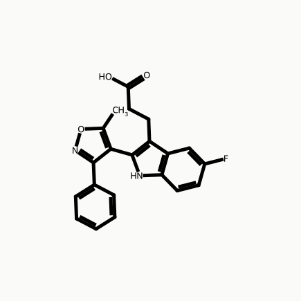 Cc1onc(-c2ccccc2)c1-c1[nH]c2ccc(F)cc2c1CCC(=O)O